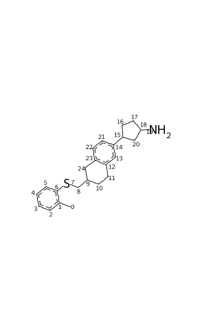 Cc1ccccc1SCC1CCc2cc(C3CCC(N)C3)ccc2C1